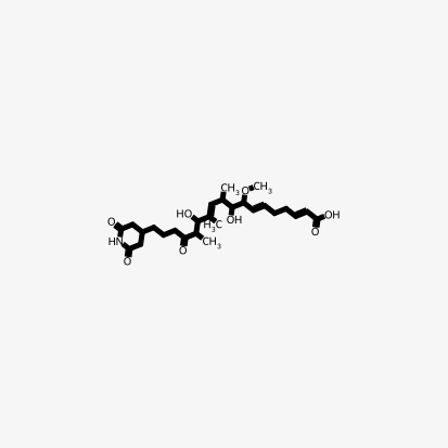 COC(/C=C/CC/C=C/C(=O)O)C(O)C(C)/C=C(\C)C(O)C(C)C(=O)CCCC1CC(=O)NC(=O)C1